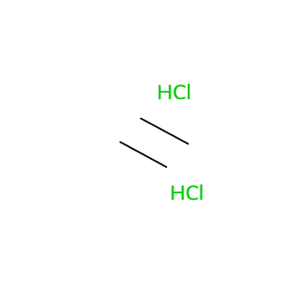 CC.CC.Cl.Cl